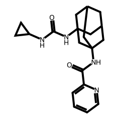 O=C(NC1CC1)NC12CC3CC(C1)CC(NC(=O)c1ccccn1)(C3)C2